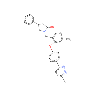 Cc1ccc(-c2ccc(Oc3cc(C(=O)O)ccc3CN3CC(c4ccccc4)CC3=O)cc2)nn1